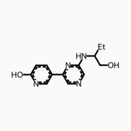 CCC(CO)Nc1cncc(-c2ccc(O)nc2)n1